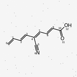 C=CC=CC(C#N)=CC=CC(=O)O